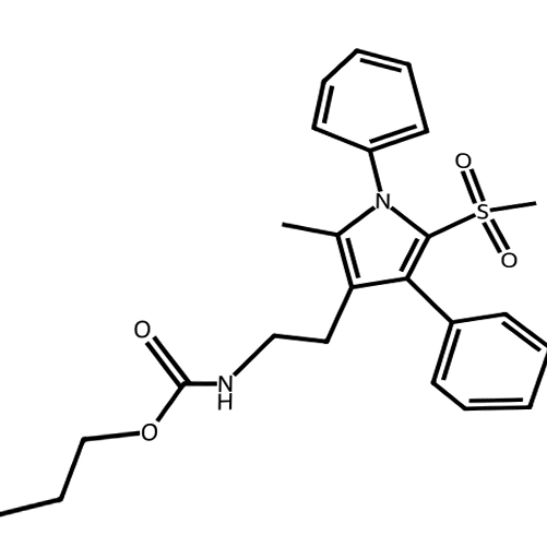 CCCOC(=O)NCCc1c(-c2ccccc2)c(S(C)(=O)=O)n(-c2ccccc2)c1C